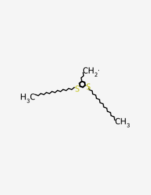 [CH2]CCCc1cc(SCCCCCCCCCCCCCCCC)cc(SCCCCCCCCCCCCCCCC)c1